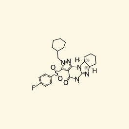 CN1C(=O)c2c(nn(CC3CCCCC3)c2S(=O)(=O)c2ccc(F)cc2)N2C1=N[C@@H]1CCCC[C@@H]12